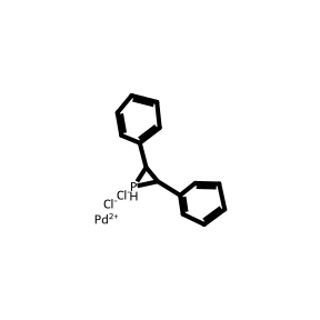 [Cl-].[Cl-].[Pd+2].c1ccc(C2PC2c2ccccc2)cc1